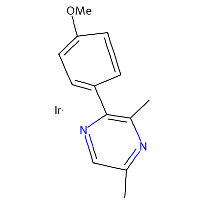 COc1ccc(-c2ncc(C)nc2C)cc1.[Ir]